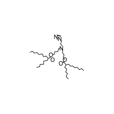 CCCCCCCCC(CCCCCC)C(=O)OCCCCN(CCCCOC(=O)C(CCCCCC)CCCCCCCC)CCCn1ccnc1